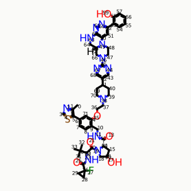 Cc1ncsc1-c1ccc(CNC(=O)[C@@H]2C[C@@H](O)CN2C(=O)[C@@H](NC(=O)C2(F)CC2)C(C)(C)C)c(OCCN2CCC(c3cnc(N4CCN5c6cc(-c7ccccc7O)nnc6NC[C@H]5C4)nc3)CC2)c1